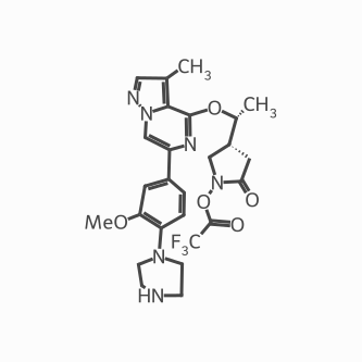 COc1cc(-c2cn3ncc(C)c3c(O[C@H](C)[C@@H]3CC(=O)N(OC(=O)C(F)(F)F)C3)n2)ccc1N1CCNCC1